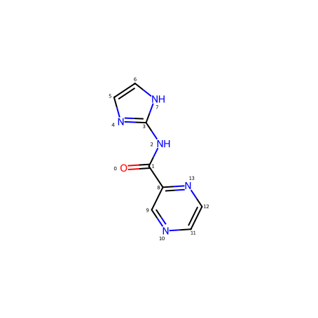 O=C(Nc1ncc[nH]1)c1cnccn1